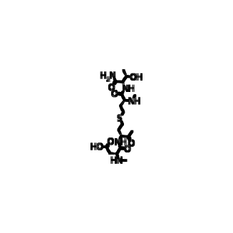 CN[C@@H](CC(=O)O)C(=O)N[C@@H](CCSCC[C@H](NC)C(=O)N[C@H](C(N)=O)[C@@H](C)O)C(C)=O